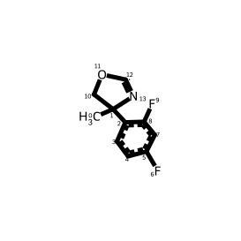 CC1(c2ccc(F)cc2F)CO[C]=N1